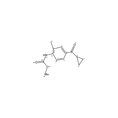 Cc1cc(C(=O)C2CC2)ccc1NC(=O)OC(C)(C)C